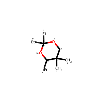 CCC1(CC)OCC(C)(C)C(C(C)C)O1